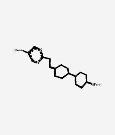 CCCCCc1cnc(CCC2CCC(C3CCC(CCCCC)CC3)CC2)nc1